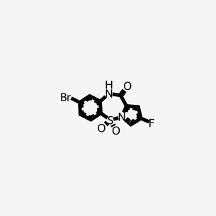 O=C1Nc2cc(Br)ccc2S(=O)(=O)n2cc(F)cc21